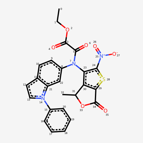 CCOC(=O)C(=O)N(c1ccc2ccn(-c3ccccc3)c2c1)c1c([N+](=O)[O-])sc2c1C(C)OC2=O